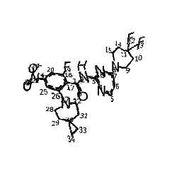 O=C(Nc1nccc(N2CCC(F)(F)CC2)n1)c1c(F)cc([N+](=O)[O-])cc1N1CCC2(CC1)CC2